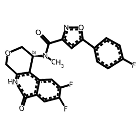 CN(C(=O)c1cc(-c2ccc(F)cc2)on1)[C@@H]1COCc2[nH]c(=O)c3cc(F)c(F)cc3c21